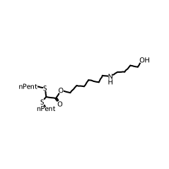 CCCCCSC(SCCCCC)C(=O)OCCCCCCNCCCCO